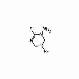 NN1CC(Br)=CN=C1F